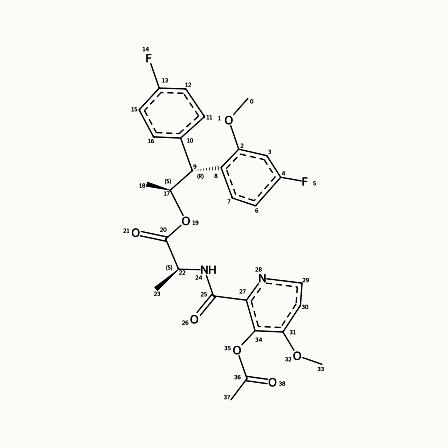 COc1cc(F)ccc1[C@@H](c1ccc(F)cc1)[C@H](C)OC(=O)[C@H](C)NC(=O)c1nccc(OC)c1OC(C)=O